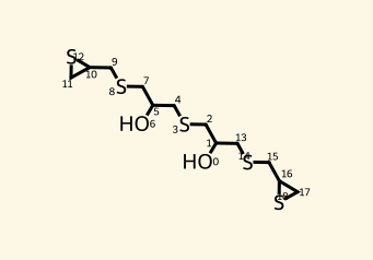 OC(CSCC(O)CSCC1CS1)CSCC1CS1